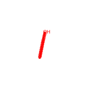 C=CCOCCOCCOCCOCCOCCOCCOCCOCCOCCOCCOCCOCCOCCOCCOCCOCCCOCCCOCCCOCCCOCCCO